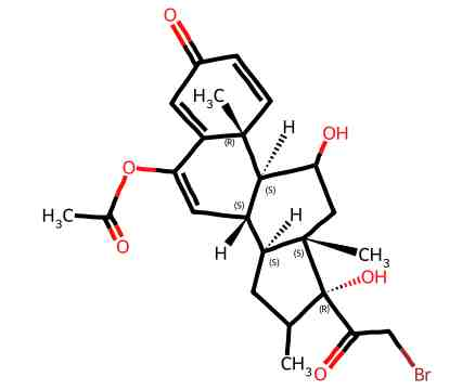 CC(=O)OC1=C[C@@H]2[C@H](C(O)C[C@@]3(C)[C@H]2CC(C)[C@]3(O)C(=O)CBr)[C@@]2(C)C=CC(=O)C=C12